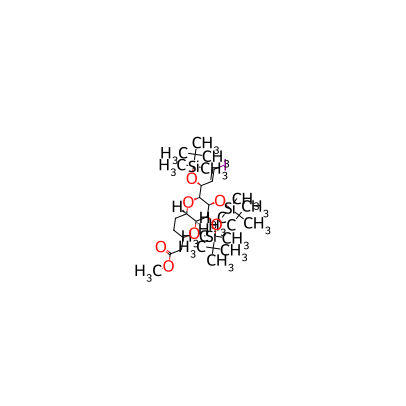 COC(=O)CC1CC[C@@H]2O[C@@H]([C@H](/C=C/I)O[Si](C)(C)C(C)(C)C)[C@@H](O[Si](C)(C)C(C)(C)C)[C@@H](O[Si](C)(C)C(C)(C)C)[C@H]2O1